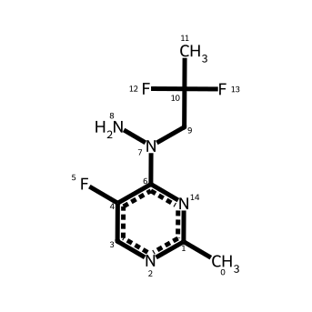 Cc1ncc(F)c(N(N)CC(C)(F)F)n1